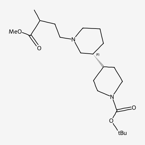 COC(=O)C(C)CCN1CCC[C@H](C2CCN(C(=O)OC(C)(C)C)CC2)C1